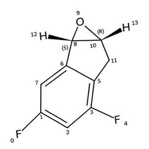 Fc1cc(F)c2c(c1)[C@@H]1O[C@@H]1C2